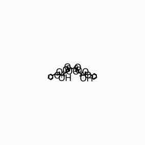 CC(C)(COS(=O)(=O)CCCS(=O)(=O)OCC(C)(C)[C@@H](O)C(=O)OCc1ccccc1)[C@@H](O)C(=O)OCc1ccccc1